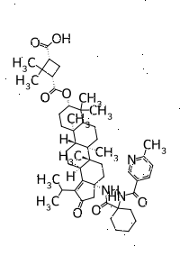 Cc1ccc(C(=O)NC2(C(=O)N[C@@]34CC[C@]5(C)[C@H](CC[C@@H]6[C@@]7(C)CC[C@H](OC(=O)[C@H]8C[C@@H](C(=O)O)C8(C)C)C(C)(C)C7CC[C@]65C)C3=C(C(C)C)C(=O)C4)CCCCC2)cn1